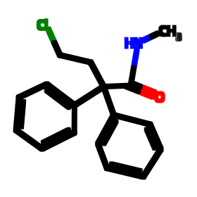 CNC(=O)C(CCCl)(c1ccccc1)c1ccccc1